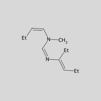 CC/C=C\N(C)/C=N\C(=C\CC)CC